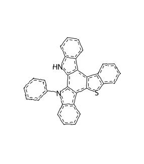 c1ccc(-n2c3ccccc3c3c4sc5ccccc5c4c4c5ccccc5[nH]c4c32)cc1